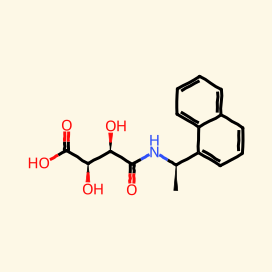 C[C@@H](NC(=O)[C@H](O)[C@@H](O)C(=O)O)c1cccc2ccccc12